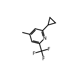 Cc1cc(C2CC2)nc(C(F)(F)F)c1